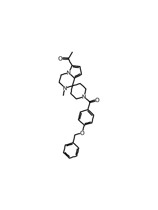 CC(=O)c1ccc2n1CCN(C)C21CCN(C(=O)c2ccc(OCc3ccccc3)cc2)CC1